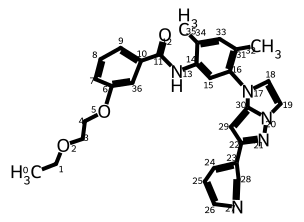 CCOCCOc1cccc(C(=O)Nc2cc(-n3ccn4nc(-c5cccnc5)cc34)c(C)cc2C)c1